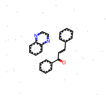 O=C(C=Cc1ccccc1)c1ccccc1.c1ccc2nccnc2c1